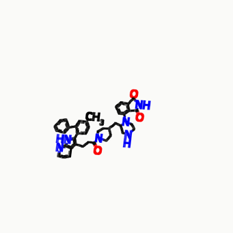 Cc1ccc(-c2[nH]c3ncccc3c2CCC(=O)N2CCC(CC3CNCCN3c3cccc4c3C(=O)NC4=O)CC2)c(-c2ccccc2)c1